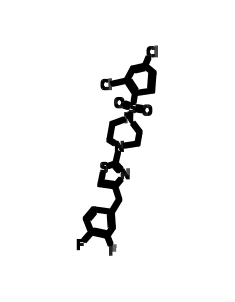 O=S(=O)(c1ccc(Cl)cc1Cl)N1CCN(c2nc(Cc3ccc(F)c(F)c3)cs2)CC1